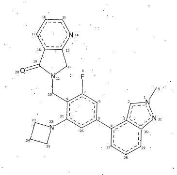 Cn1cc2c(-c3cc(F)c(CN4Cc5ncccc5C4=O)c(N4CCC4)c3)cccc2n1